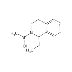 CCC1c2ccccc2CCN1B(C)O